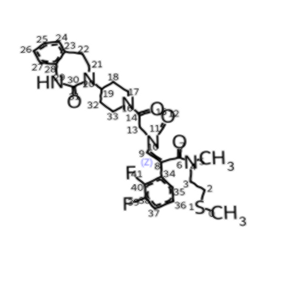 CSCCN(C)C(=O)/C(=C\N(C=O)CC(=O)N1CCC(N2CCc3ccccc3NC2=O)CC1)c1cccc(F)c1F